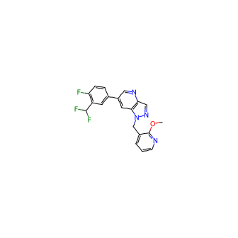 COc1ncccc1Cn1ncc2ncc(-c3ccc(F)c(C(F)F)c3)cc21